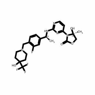 C[C@H](Nc1nccc(N2C(=O)OC[C@]2(C)O)n1)c1ccc(CN2CCC(O)(C(F)(F)F)CC2)c(F)c1